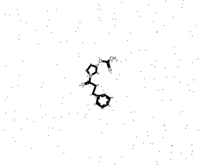 CC(=O)O[C@H]1CCN(C(=O)CCc2ccccc2)C1